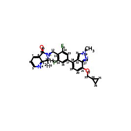 [2H]C1([2H])c2ncccc2C(=O)N1Cc1c(F)cc(-c2ccc(OCC3CC3)c3nn(C)cc23)cc1F